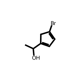 CC(O)C1=CC=C(Br)C1